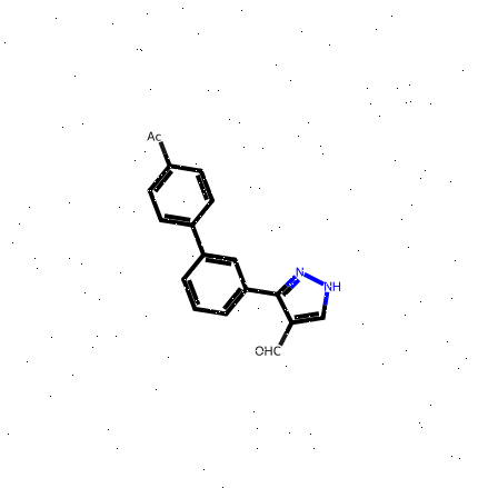 CC(=O)c1ccc(-c2cccc(-c3n[nH]cc3C=O)c2)cc1